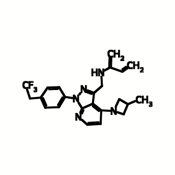 C=CC(=C)NCc1nn(-c2ccc(CC(F)(F)F)cc2)c2nccc(N3CC(C)C3)c12